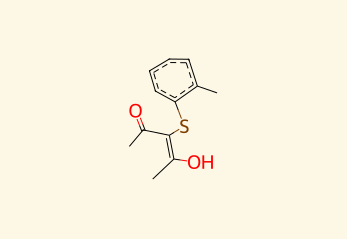 CC(=O)C(Sc1ccccc1C)=C(C)O